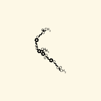 C=CC(=O)OCCCCOc1ccc(C=COCOc2ccc3c(c2)C(C)(C)c2cc(OC(=O)C=Cc4ccc(OCCCCOC(=O)C=C)cc4)ccc2-3)cc1